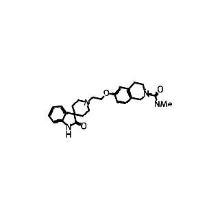 CNC(=O)N1CCc2cc(OCCN3CCC4(CC3)C(=O)Nc3ccccc34)ccc2C1